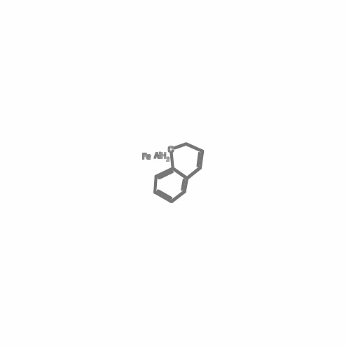 C1=Cc2ccccc2OC1.[AlH3].[Fe]